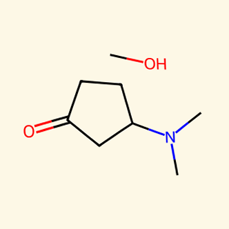 CN(C)C1CCC(=O)C1.CO